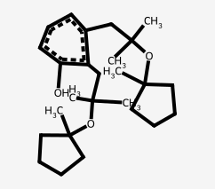 CC(C)(Cc1cccc(O)c1CC(C)(C)OC1(C)CCCC1)OC1(C)CCCC1